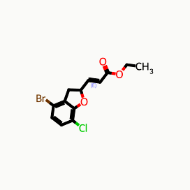 CCOC(=O)/C=C/C1Cc2c(Br)ccc(Cl)c2O1